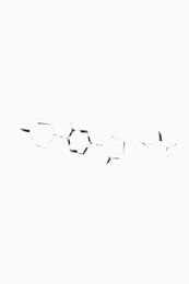 O=C1CCC(c2ccc(N3C[C@H](CNC(=S)C(F)F)OC3=O)cc2F)CN1